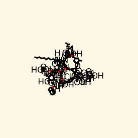 CCCCCCCCCC(=O)NC(=O)C[C@@H]1NC(=O)[C@H](NC(=O)[C@H](CC(C)C)NC)[C@H](O)c2ccc(c(C)c2)Oc2cc3cc(c2O[C@@H]2O[C@H](CO)[C@@H](O)[C@H](O)[C@H]2O[C@H]2C[C@](C)(N)[C@H](O)[C@H](C)O2)Oc2ccc(cc2Cl)[C@@H](O)[C@@H]2NC(=O)[C@H](NC(=O)[C@@H]3NC1=O)c1ccc(O)c(c1)-c1c(cc(O)c(CNCP(=O)(O)O)c1O)[C@@H](C(=O)NC1C3CC4CC(C3)CC1C4)NC2=O